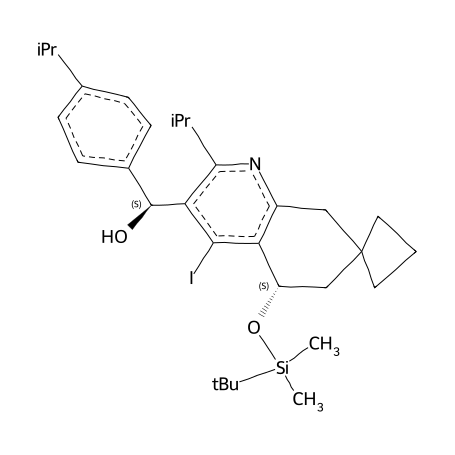 CC(C)c1ccc([C@H](O)c2c(C(C)C)nc3c(c2I)[C@@H](O[Si](C)(C)C(C)(C)C)CC2(CCC2)C3)cc1